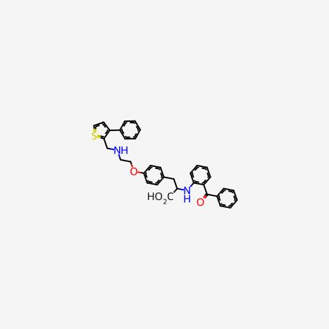 O=C(c1ccccc1)c1ccccc1NC(Cc1ccc(OCCNCc2sccc2-c2ccccc2)cc1)C(=O)O